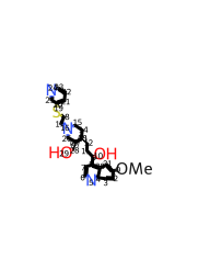 COc1ccc2nccc(C(O)CC[C@@H]3CCN(CCSc4cccnc4)C[C@@H]3CO)c2c1